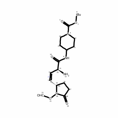 CC(C)(C)OC(=O)N1CCC(NC(=O)[C@@H](N)/C=C\[C@@H]2CCC(=O)N2OC=O)CC1